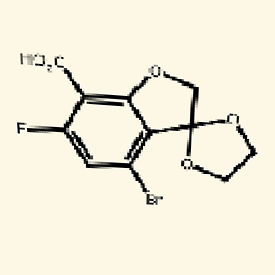 O=C(O)c1c(F)cc(Br)c2c1OCC21OCCO1